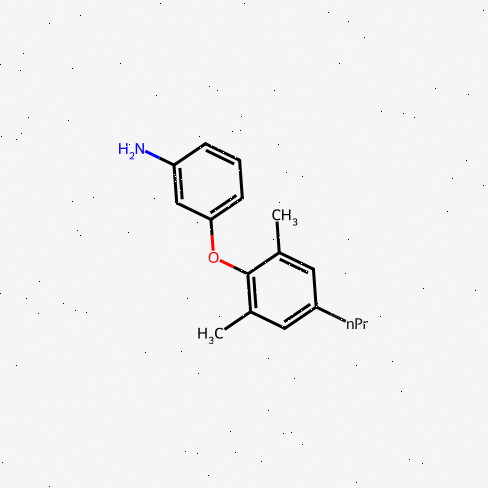 CCCc1cc(C)c(Oc2cccc(N)c2)c(C)c1